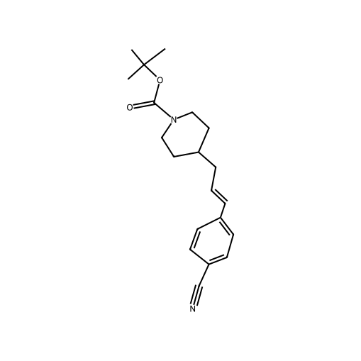 CC(C)(C)OC(=O)N1CCC(C/C=C/c2ccc(C#N)cc2)CC1